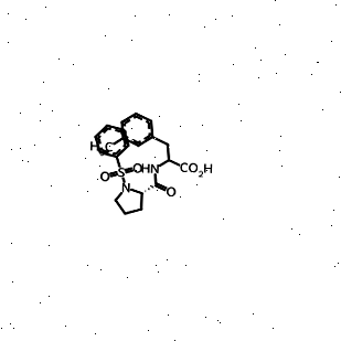 Cc1cccc(CC(NC(=O)[C@@H]2CCCN2S(=O)(=O)c2ccccc2)C(=O)O)c1